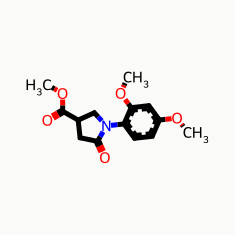 COC(=O)C1CC(=O)N(c2ccc(OC)cc2OC)C1